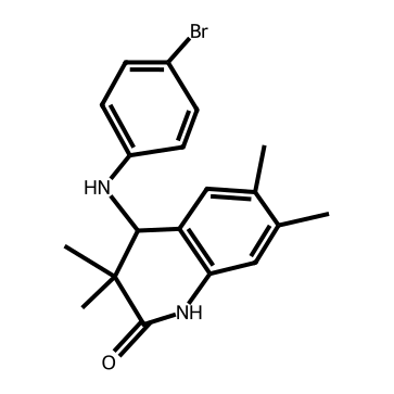 Cc1cc2c(cc1C)C(Nc1ccc(Br)cc1)C(C)(C)C(=O)N2